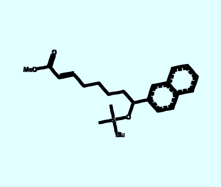 COC(=O)C=CCCCCC(O[Si](C)(C)C(C)(C)C)c1ccc2ccccc2c1